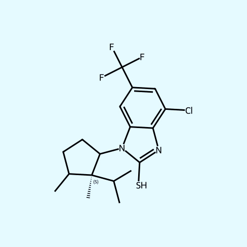 CC(C)[C@@]1(C)C(C)CCC1n1c(S)nc2c(Cl)cc(C(F)(F)F)cc21